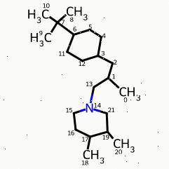 CC(CC1CCC(C(C)(C)C)CC1)CN1CCC(C)C(C)C1